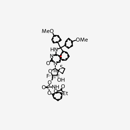 CCC(=O)ONP(=O)(OC[C@@]1(F)O[C@@H](n2ccc(NC(c3ccccc3)(c3ccc(OC)cc3)c3ccc(OC)cc3)nc2=O)[C@@]2(CCS2)[C@@H]1O)Oc1ccccc1